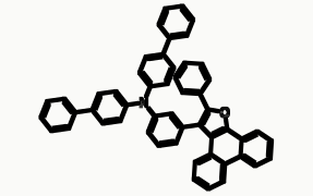 c1ccc(-c2ccc(N(c3ccc(-c4ccccc4)cc3)c3cccc(-c4c(-c5ccccc5)oc5c6ccccc6c6ccccc6c45)c3)cc2)cc1